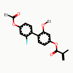 C=C(C)C(=O)Oc1ccc(-c2ccc(OC(=O)CC)cc2F)c(OCC)c1